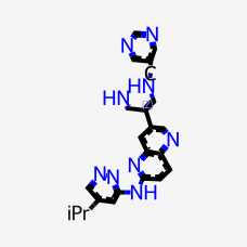 CC(C)c1cnnc(Nc2ccc3ncc(/C(C=N)=C/NCc4cncnc4)cc3n2)c1